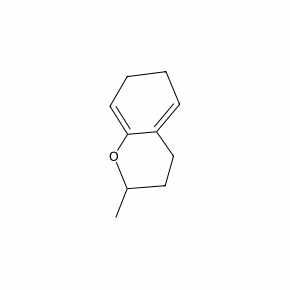 CC1CCC2=CCCC=C2O1